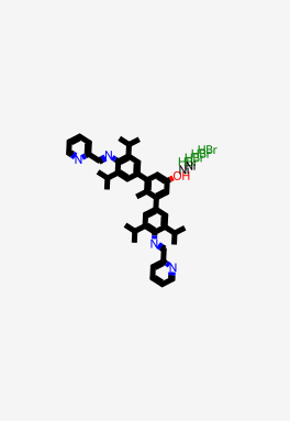 Br.Br.Br.Br.Cc1c(-c2cc(C(C)C)c(N=Cc3ccccn3)c(C(C)C)c2)cc(O)cc1-c1cc(C(C)C)c(N=Cc2ccccn2)c(C(C)C)c1.[Ni].[Ni]